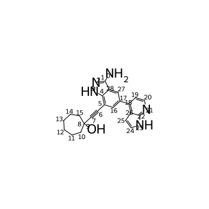 Nc1n[nH]c2c(C#CC3(O)CCCCCC3)cc(-c3ccnc4[nH]ccc34)cc12